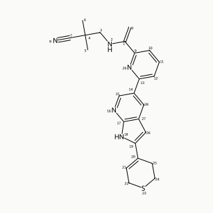 C=C(NCC(C)(C)C#N)c1cccc(-c2cnc3[nH]c(C4=CCSCC4)cc3c2)n1